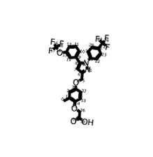 Cc1cc(OCc2cc(-c3cccc(OC(F)(F)F)c3)n(-c3ccc(C(F)(F)F)cc3)n2)ccc1OCC(=O)O